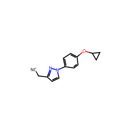 N#CCc1ccn(-c2ccc(OC3CC3)cc2)n1